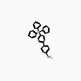 Bc1ccc(-c2ccc([Si](c3ccccc3)(c3ccccc3)c3ccccc3)cc2)cc1